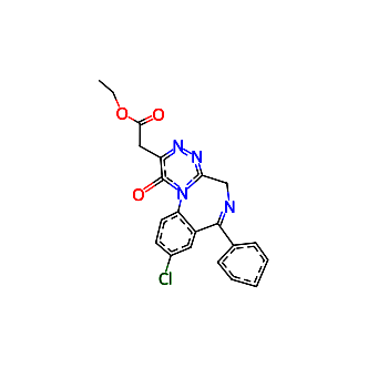 CCOC(=O)Cc1nnc2n(c1=O)-c1ccc(Cl)cc1C(c1ccccc1)=NC2